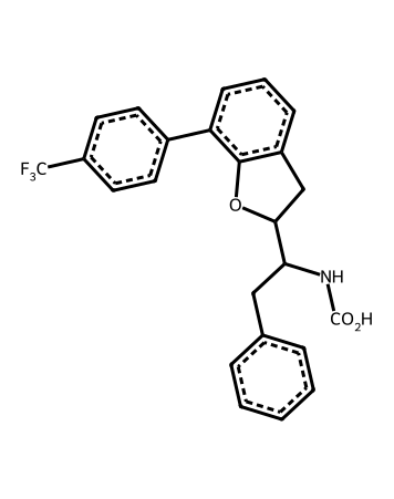 O=C(O)NC(Cc1ccccc1)C1Cc2cccc(-c3ccc(C(F)(F)F)cc3)c2O1